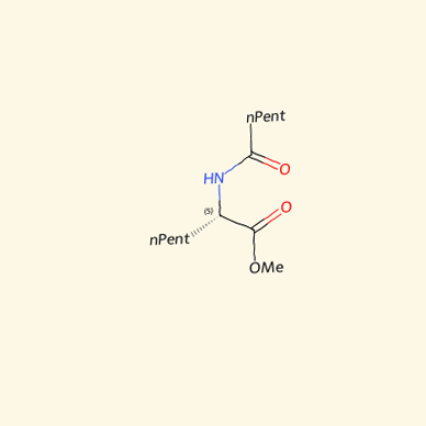 CCCCCC(=O)N[C@@H](CCCCC)C(=O)OC